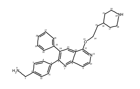 NCc1ccc(-c2nc3ccnc(OCCC4CCNCC4)c3cc2-c2ccccc2)cc1